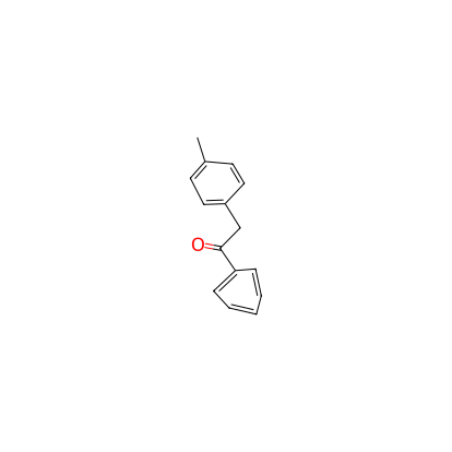 Cc1ccc(CC(=O)c2ccccc2)cc1